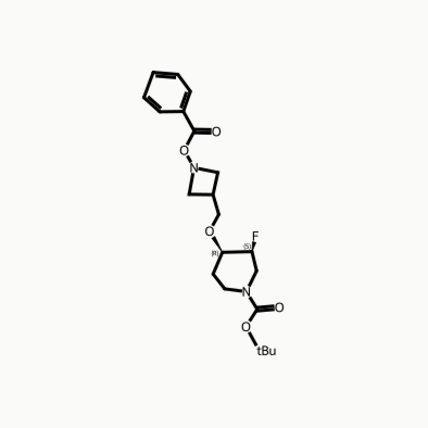 CC(C)(C)OC(=O)N1CC[C@@H](OCC2CN(OC(=O)c3ccccc3)C2)[C@@H](F)C1